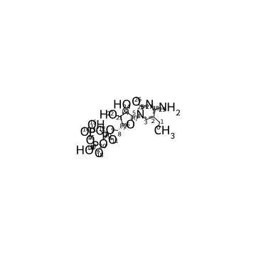 CCc1cn([C@@H]2O[C@H](COP3(=O)OP(=O)(O)OP(=O)(O)O3)C(O)[C@@H]2O)c(=O)nc1N